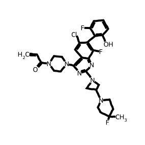 C=CC(=O)N1CCN(c2nc(N3CC(N4CCC(C)(F)CC4)C3)nc3c(F)c(-c4c(O)cccc4F)c(Cl)cc23)CC1